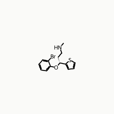 CNCC[C@@H](Oc1ccccc1Br)c1cccs1